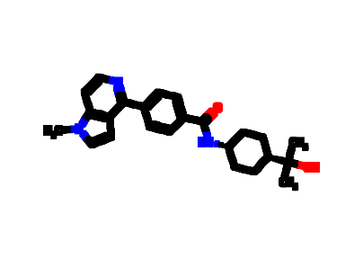 Cn1ccc2c(-c3ccc(C(=O)N[C@H]4CC[C@H](C(C)(C)O)CC4)cc3)nccc21